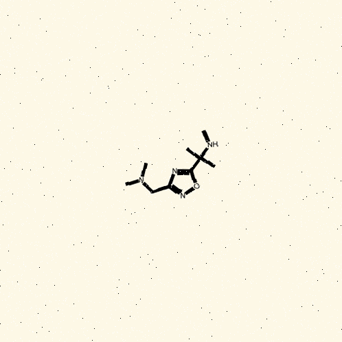 CNC(C)(C)c1nc(CN(C)C)no1